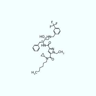 CCCCCCN(C(=O)c1cc(C(=O)N[C@@H](Cc2ccccc2)[C@H](O)CNCc2cccc(C(F)(F)F)c2)nn1CC)C1CC1